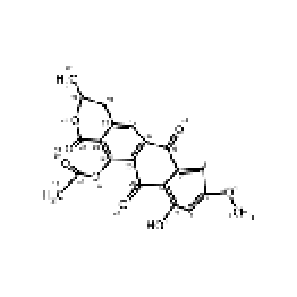 COc1cc(O)c2c(c1)C(=O)c1cc3c(c(OC(C)=O)c1C2=O)C(=O)OC(C)C3